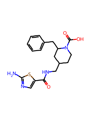 Nc1ncc(C(=O)NCC2CCN(C(=O)O)C(Cc3ccccc3)C2)s1